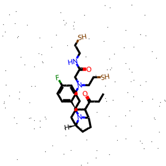 CCC(=O)C1C2CC[C@H](C[C@H]1c1ccc(F)cc1)N2CCCN(CCS)CC(=O)NCCS